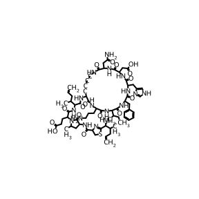 C=CCC(C)C(N)C1=NC(C(=O)NC2CC(C)N(C(CCC(=O)O)C(=O)NC(C(=O)NC3CCCCNC(=O)C(CC(N)=O)NC(=O)C(CC(=O)O)NC(=O)C(Cc4c[nH]cn4)NC(=O)C(Cc4ccccc4)NC(=O)C(C(C)CC)NC(=O)C(CCCN)NC3=O)C(C)CC=C)C2=O)CS1